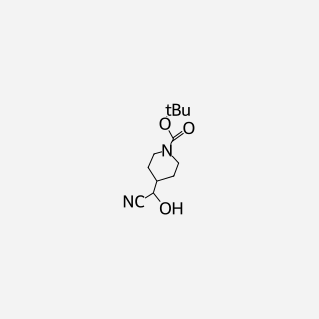 CC(C)(C)OC(=O)N1CCC(C(O)C#N)CC1